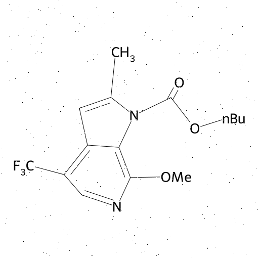 CCCCOC(=O)n1c(C)cc2c(C(F)(F)F)cnc(OC)c21